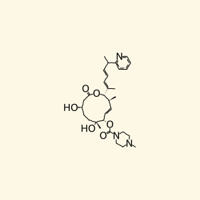 C/C(=C\C=C\C(C)c1ccccn1)[C@H]1OC(=O)C[C@H](O)CC[C@@](C)(O)[C@@H](OC(=O)N2CCN(C)CC2)/C=C/[C@@H]1C